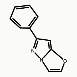 c1ccc(-c2cc3occn3n2)cc1